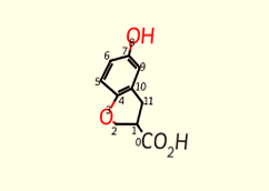 O=C(O)C1COc2ccc(O)cc2C1